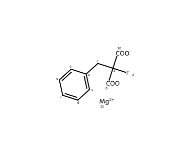 O=C([O-])C(F)(Cc1ccccc1)C(=O)[O-].[Mg+2]